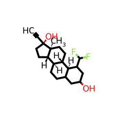 C#C[C@@]1(O)CC[C@H]2[C@@H]3CCC4CC(O)CC(C(F)F)[C@@H]4[C@H]3CC[C@@]21C